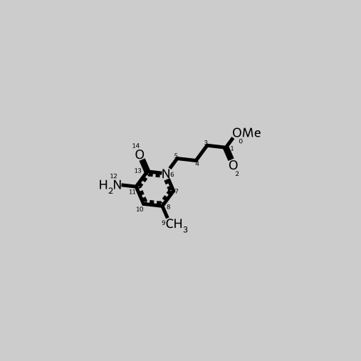 COC(=O)CCCn1cc(C)cc(N)c1=O